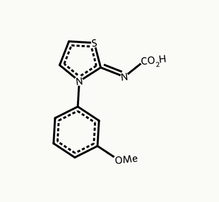 COc1cccc(-n2ccsc2=NC(=O)O)c1